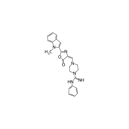 Cn1c(C2=N/C(=C/N3CCN(C(=N)Nc4ccccc4)CC3)C(=O)O2)cc2ccccc21